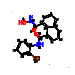 O=C(NO)c1cccc2cccc(C(=O)Nc3ccccc3S)c12